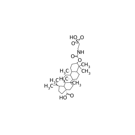 CC(C)[C@@H]1CC[C@]2(C(=O)O)CC[C@]3(C)C(CCC4[C@@]5(C)CC[C@@H](OC(=O)NCCS(=O)(=O)O)C(C)(C)C5CC[C@]43C)C12